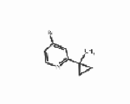 CC1(c2cc(Br)ccn2)CC1